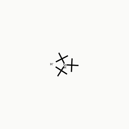 C[C](C)(C)[SnH]([C](C)(C)C)[C](C)(C)C.[H-]